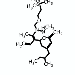 C=C/C=C(/CC(C)CC)CC(C)/C(C=C)=C(/C)N(COCC[Si](C)(C)C)NC